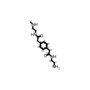 CNCCNC(=O)Cc1ccc(CC(=O)NCCN)cc1